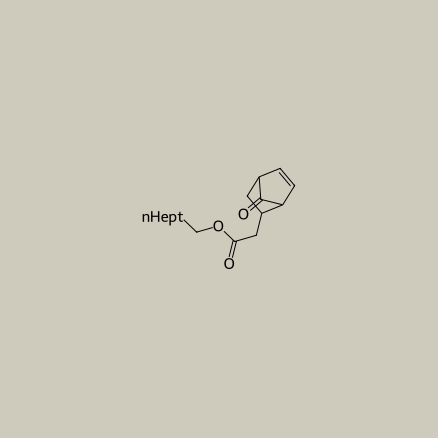 CCCCCCCCOC(=O)CC1CC2C=CC1C2=O